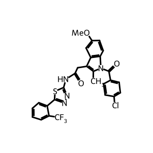 COc1ccc2c(c1)c(CC(=O)Nc1nnc(-c3ccccc3C(F)(F)F)s1)c(C)n2C(=O)c1ccc(Cl)cc1